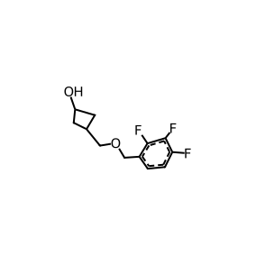 OC1CC(COCc2ccc(F)c(F)c2F)C1